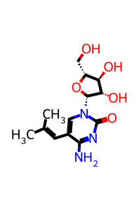 CC(C)=Cc1cn([C@@H]2O[C@H](CO)[C@@H](O)[C@@H]2O)c(=O)nc1N